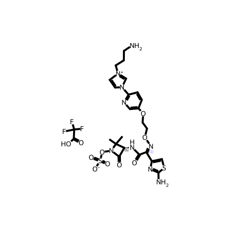 CC1(C)[C@H](NC(=O)/C(=N\OCCOc2ccc(-n3cc[n+](CCCN)c3)nc2)c2csc(N)n2)C(=O)N1OS(=O)(=O)[O-].O=C(O)C(F)(F)F